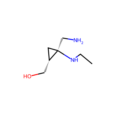 CCN[C@]1(CN)C[C@H]1CO